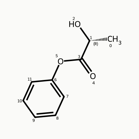 C[C@@H](O)C(=O)Oc1ccccc1